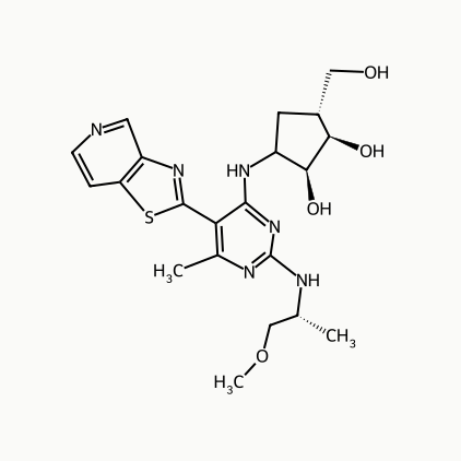 COC[C@@H](C)Nc1nc(C)c(-c2nc3cnccc3s2)c(NC2C[C@H](CO)[C@@H](O)[C@H]2O)n1